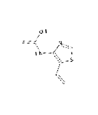 C=Cc1scnc1NC(=C)O